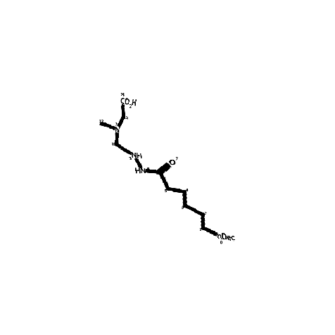 CCCCCCCCCCCCCCCC(=O)NNCN(C)CC(=O)O